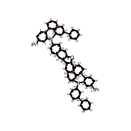 CC(C)c1ccc(-c2ccccc2)c(N(c2cccc(-c3ccccc3)c2)c2ccc3cc4c(cc3c2)oc2cc3cc(N(c5cccc(-c6ccccc6)c5)c5cc(C(C)C)ccc5-c5ccccc5)ccc3cc24)c1